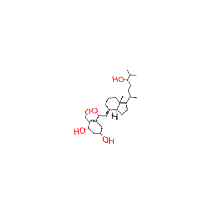 CC(C)C(O)CC[C@@H](C)[C@H]1CC[C@H]2C(=CC3OOCC4=C3C[C@@H](O)C[C@@H]4O)CCC[C@]12C